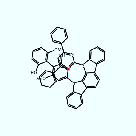 COc1cccc(O)c1-c1c(O)cc(-n2c3ccccc3c3ccc4c5ccccc5n(-c5nc(C6=CCCC=C6)nc(-c6ccccc6)n5)c4c32)cc1OC